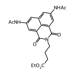 CCOC(=O)CCCN1C(=O)c2cc(NC(C)=O)cc3cc(NC(C)=O)cc(c23)C1=O